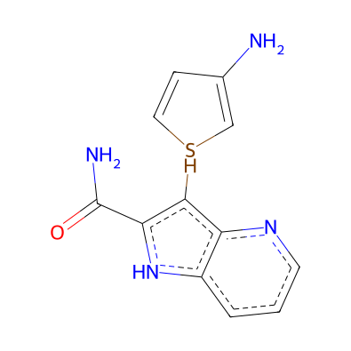 NC(=O)c1[nH]c2cccnc2c1[SH]1C=CC(N)=C1